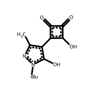 Cc1nn(C(C)(C)C)c(O)c1-c1c(O)c(=O)c1=O